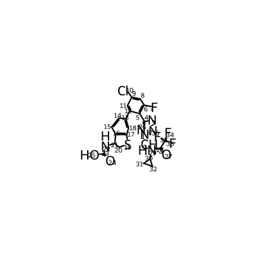 Cn1nnc(-c2c(F)cc(Cl)cc2-c2ccc3c(c2)SCC3NC(=O)O)n1.O=C(NC1CC1)C(F)(F)F